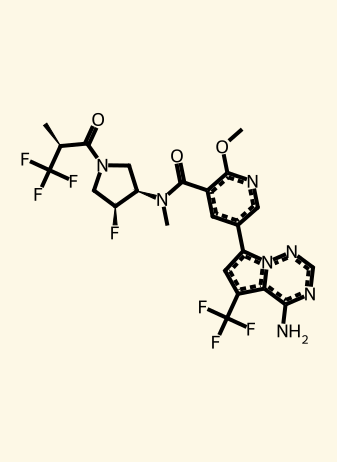 COc1ncc(-c2cc(C(F)(F)F)c3c(N)ncnn23)cc1C(=O)N(C)[C@@H]1CN(C(=O)[C@H](C)C(F)(F)F)C[C@@H]1F